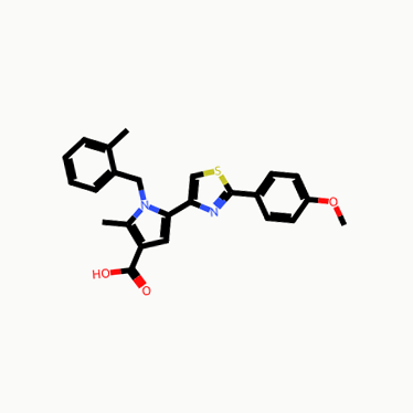 COc1ccc(-c2nc(-c3cc(C(=O)O)c(C)n3Cc3ccccc3C)cs2)cc1